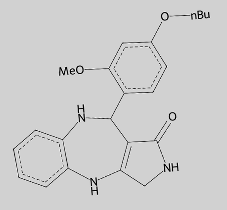 CCCCOc1ccc(C2Nc3ccccc3NC3=C2C(=O)NC3)c(OC)c1